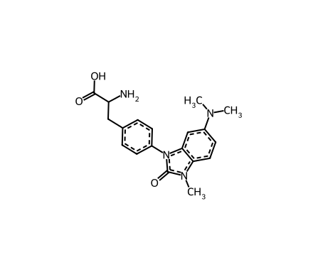 CN(C)c1ccc2c(c1)n(-c1ccc(CC(N)C(=O)O)cc1)c(=O)n2C